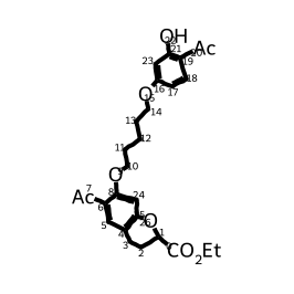 CCOC(=O)C1CCc2cc(C(C)=O)c(OCCCCCOc3ccc(C(C)=O)c(O)c3)cc2O1